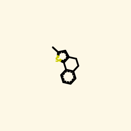 Cc1cc2c(s1)-c1ccccc1CC2